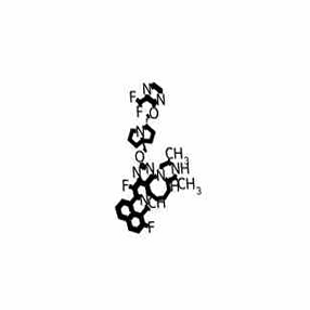 C#Cc1c(F)ccc2cccc(-c3nc4c5c(nc(OC[C@@]67CCCN6[C@H](COc6nccnc6C(F)F)CC7)nc5c3F)N3C[C@@H](C)N[C@@H](C)[C@H]3CCC4)c12